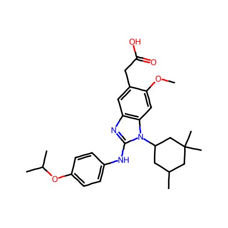 COc1cc2c(cc1CC(=O)O)nc(Nc1ccc(OC(C)C)cc1)n2C1CC(C)CC(C)(C)C1